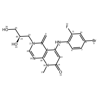 C=C1c2c(Nc3ccc(Br)cc3F)cc(=O)n(C)c2N=CN1C[C@@H](O)CO